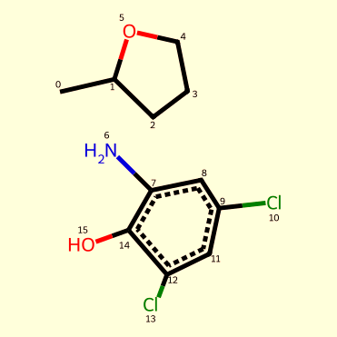 CC1CCCO1.Nc1cc(Cl)cc(Cl)c1O